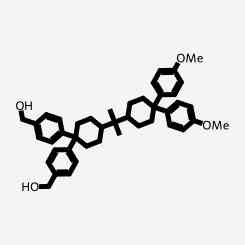 COc1ccc(C2(c3ccc(OC)cc3)CCC(C(C)(C)C3CCC(c4ccc(CO)cc4)(c4ccc(CO)cc4)CC3)CC2)cc1